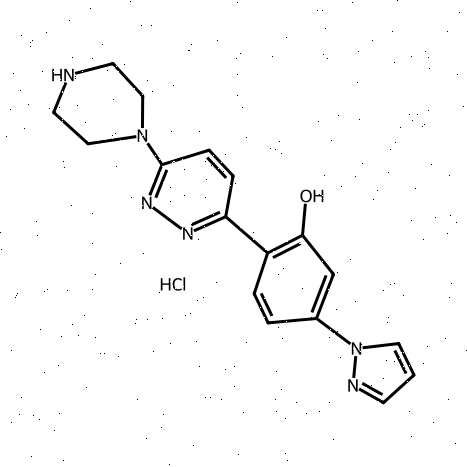 Cl.Oc1cc(-n2cccn2)ccc1-c1ccc(N2CCNCC2)nn1